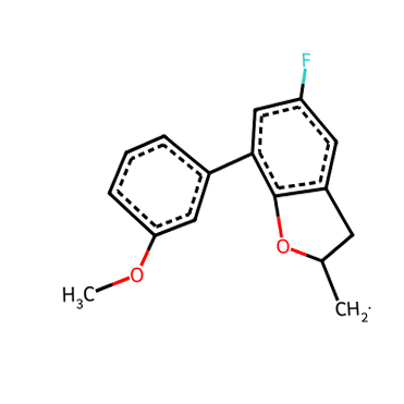 [CH2]C1Cc2cc(F)cc(-c3cccc(OC)c3)c2O1